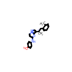 C/C(=C\c1ccccc1C)c1cnn2ccc(Nc3ccc(O)cc3)nc12